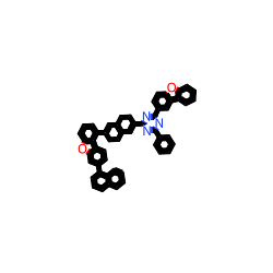 c1ccc2cccc(-c3ccc4c(c3)oc3cccc(C5=CC6=C(C=C(c7nc(-c8ccccc8)nc(-c8ccc9oc%10ccccc%10c9c8)n7)CC6)CC5)c34)c2c#1